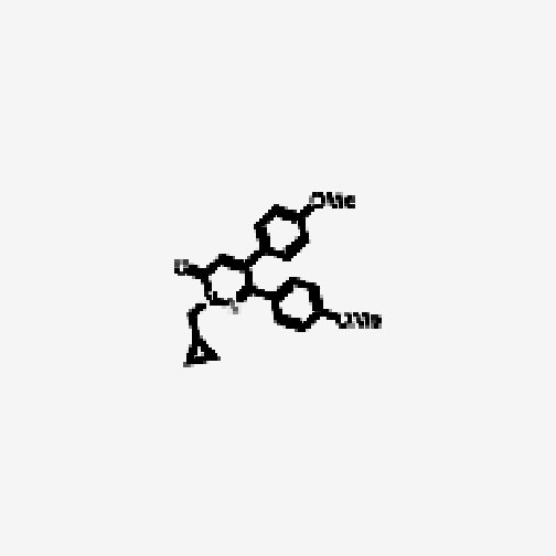 COc1ccc(-c2cc(=O)n(CC3CC3)nc2-c2ccc(OC)cc2)cc1